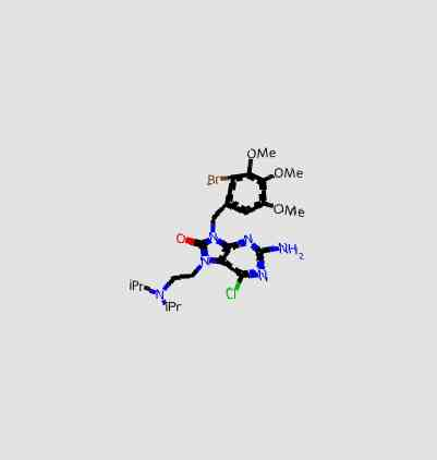 COc1cc(Cn2c(=O)n(CCN(C(C)C)C(C)C)c3c(Cl)nc(N)nc32)c(Br)c(OC)c1OC